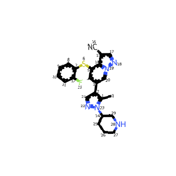 Cc1c(-c2cc(Sc3ccccc3F)c3c(C#N)cnn3c2)cnn1C1CCCNC1